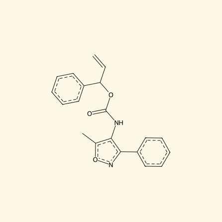 C=CC(OC(=O)Nc1c(-c2ccccc2)noc1C)c1ccccc1